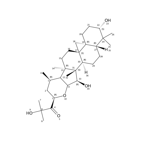 C[C@@H]1C[C@H](C(=O)C(C)(C)O)OC2C1[C@@]1(C)CC[C@@]34C[C@@]35CC[C@H](O)C(C)(C)[C@@H]5CC[C@H]4[C@]1(C)[C@H]2O